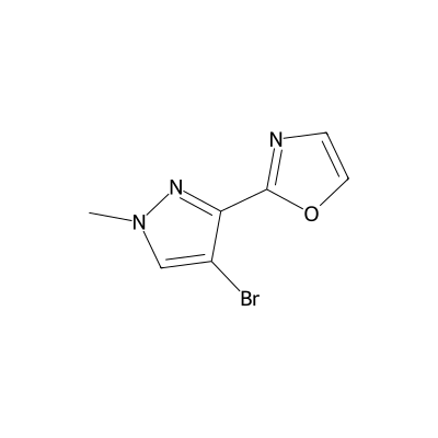 Cn1cc(Br)c(-c2ncco2)n1